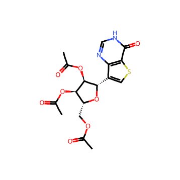 CC(=O)OC[C@H]1O[C@@H](c2csc3c(=O)[nH]cnc23)[C@H](OC(C)=O)[C@@H]1OC(C)=O